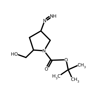 CC(C)(C)OC(=O)N1CC(N=N)CC1CO